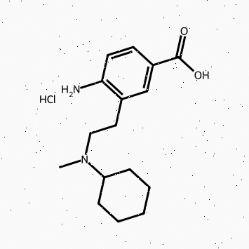 CN(CCc1cc(C(=O)O)ccc1N)C1CCCCC1.Cl